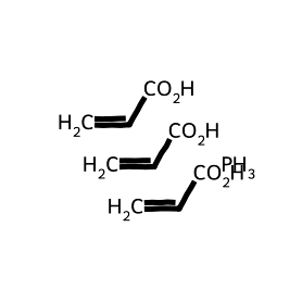 C=CC(=O)O.C=CC(=O)O.C=CC(=O)O.P